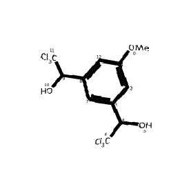 COc1cc(C(O)C(Cl)(Cl)Cl)cc(C(O)C(Cl)(Cl)Cl)c1